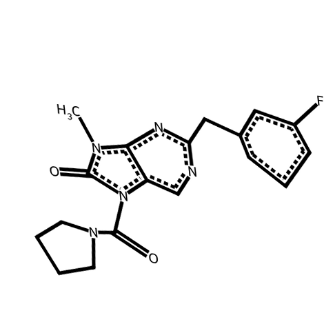 Cn1c(=O)n(C(=O)N2CCCC2)c2cnc(Cc3cccc(F)c3)nc21